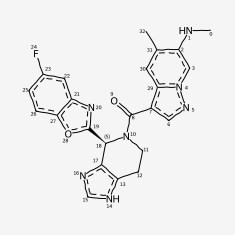 CNc1cn2ncc(C(=O)N3CCc4[nH]cnc4[C@H]3c3nc4cc(F)ccc4o3)c2cc1C